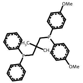 COc1ccc(P(CC(C)(C)CP(c2ccccc2)c2ccccc2)c2ccc(OC)cc2)cc1